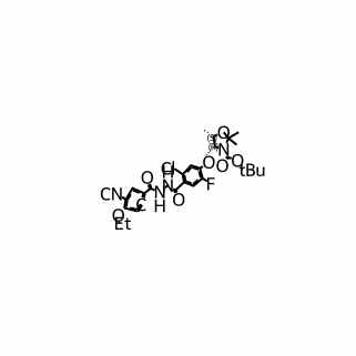 [C-]#[N+]c1cc(C(=O)NNC(=O)c2cc(F)c(OC[C@@H]3[C@H](C)OC(C)(C)N3C(=O)OC(C)(C)C)cc2Cl)ccc1OCC